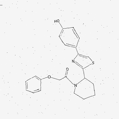 O=C(COc1ccccc1)N1CCCCC1c1nc(-c2ccc(O)cc2)cs1